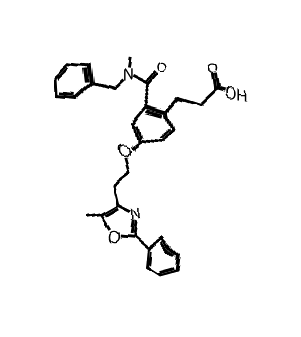 Cc1oc(-c2ccccc2)nc1CCOc1ccc(CCC(=O)O)c(C(=O)N(C)Cc2ccccc2)c1